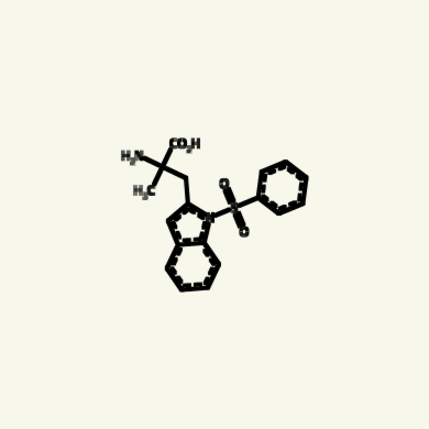 CC(N)(Cc1cc2ccccc2n1S(=O)(=O)c1ccccc1)C(=O)O